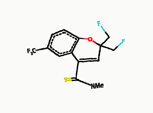 CNC(=S)C1=CC(CF)(CF)Oc2ccc(C(F)(F)F)cc21